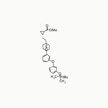 COC(=O)[C@@H]1C[C@H]1CCC12CCC(c3cccc(Oc4cccc(O[Si](C)(C)C(C)(C)C)c4)c3)(CC1)OC2